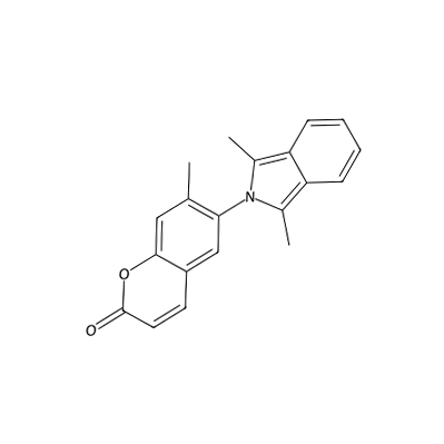 Cc1cc2oc(=O)ccc2cc1-n1c(C)c2ccccc2c1C